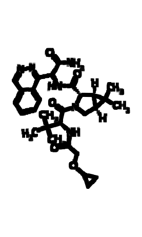 CC(C)(C)[C@H](NC(=O)COC1CC1)C(=O)N1C[C@H]2[C@@H]([C@H]1C(=O)NC(C(N)=O)c1nncc3ccccc13)C2(C)C